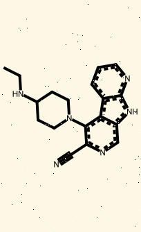 CCNC1CCN(c2c(C#N)ncc3[nH]c4ncccc4c23)CC1